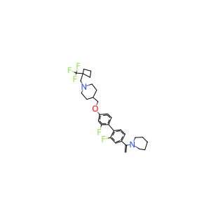 C=C(c1ccc(-c2ccc(OCC3CCN(CC4(C(F)(F)F)CCC4)CC3)cc2F)c(F)c1)N1CCCCC1